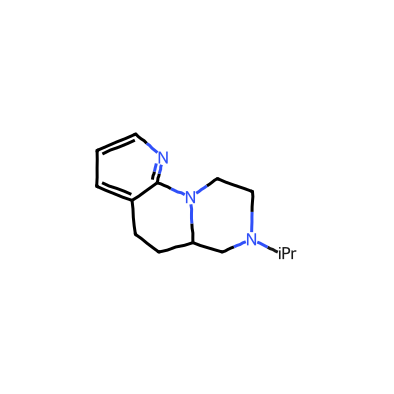 CC(C)N1CCN2c3ncccc3CCC2C1